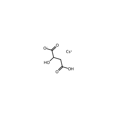 O=C(O)CC(O)C(=O)[O-].[Cs+]